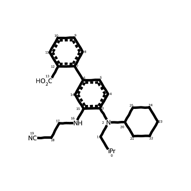 CC(C)CN(c1ccc(-c2ccccc2C(=O)O)cc1NCCC#N)C1CCCCC1